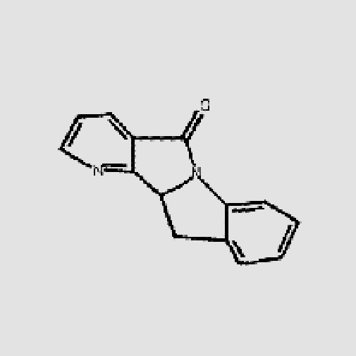 O=C1c2cccnc2C2Cc3ccccc3N12